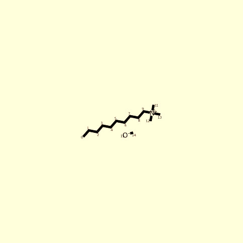 CCCCCCCCCC[N+](C)(C)C.C[O-]